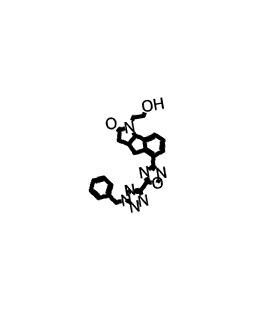 O=C1CC2Cc3c(-c4noc(-c5nnn(Cc6ccccc6)n5)n4)cccc3C2N1CCO